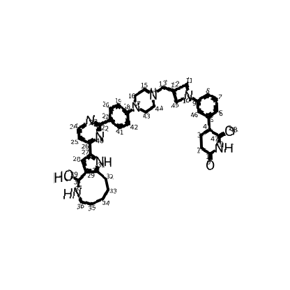 O=C1CCC(c2cccc(N3CC(CN4CCN(c5ccc(-c6nccc(-c7cc8c([nH]7)CCCCCNC8O)n6)cc5)CC4)C3)c2)C(=O)N1